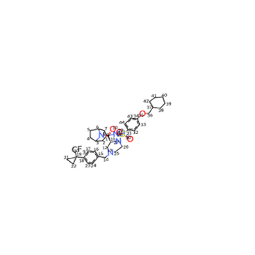 NC1CC2CCC(C1)N2C(=O)[C@@H]1CN(Cc2ccc(C3(C(F)(F)F)CC3)cc2)CCN1S(=O)(=O)c1ccc(OCC2CCCCC2)cc1